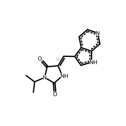 CC(C)N1C(=O)N/C(=C\c2c[nH]c3cnccc23)C1=O